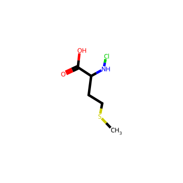 CSCCC(NCl)C(=O)O